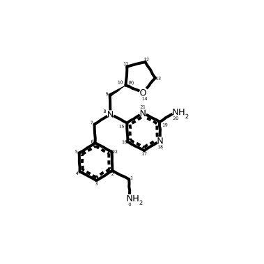 NCc1cccc(CN(C[C@H]2CCCO2)c2ccnc(N)n2)c1